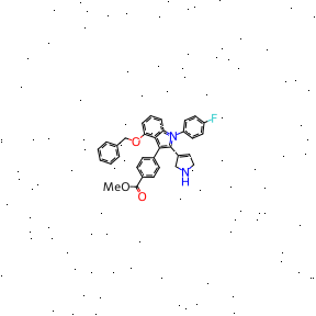 COC(=O)c1ccc(-c2c(C3=CCNC3)n(-c3ccc(F)cc3)c3cccc(OCc4ccccc4)c23)cc1